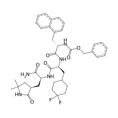 CC1(C)C[C@@H](C[C@H](NC(=O)[C@H](CC2CCC(F)(F)CC2)NC(=O)[C@H](Cc2cccc3ccccc23)NC(=O)OCc2ccccc2)C(N)=O)C(=O)N1